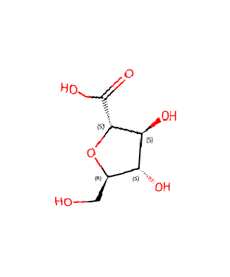 O=C(O)[C@H]1O[C@H](CO)[C@@H](O)[C@@H]1O